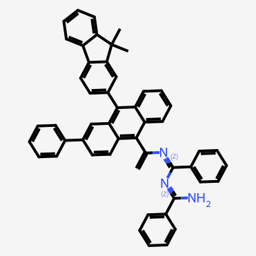 C=C(/N=C(\N=C(/N)c1ccccc1)c1ccccc1)c1c2ccccc2c(-c2ccc3c(c2)C(C)(C)c2ccccc2-3)c2cc(-c3ccccc3)ccc12